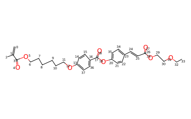 C=C(C)C(=O)OCCCCCCOc1ccc(C(=O)Oc2ccc(/C=C/C(=O)OCCOCC)cc2)cc1